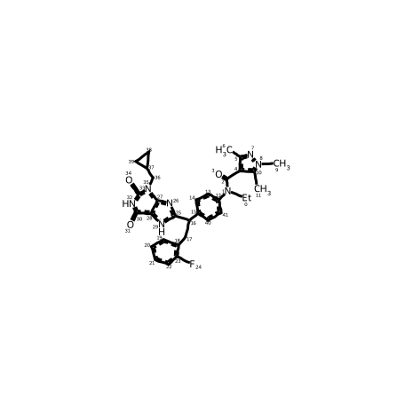 CCN(C(=O)c1c(C)nn(C)c1C)c1ccc(C(Cc2ccccc2F)c2nc3c([nH]2)c(=O)[nH]c(=O)n3CC2CC2)cc1